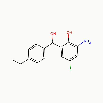 CCc1ccc(C(O)c2cc(F)cc(N)c2O)cc1